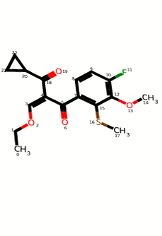 CCO/C=C(\C(=O)c1ccc(F)c(OC)c1SC)C(=O)C1CC1